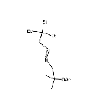 CCC(CC)(CC)C/C=N/CC(C)(C)OC(C)=O